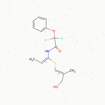 C/C=C(\NC(=O)C(F)(F)Oc1ccccc1)S/C=C(\C)CO